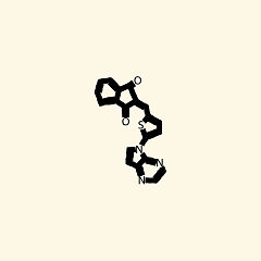 O=C1C(=Cc2ccc(-n3ccc4nccnc43)s2)C(=O)c2ccccc21